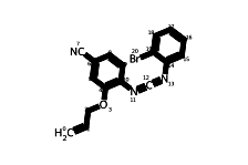 C=CCOc1cc(C#N)ccc1N=C=Nc1ccccc1Br